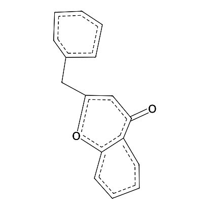 O=c1cc(Cc2ccccc2)oc2ccccc12